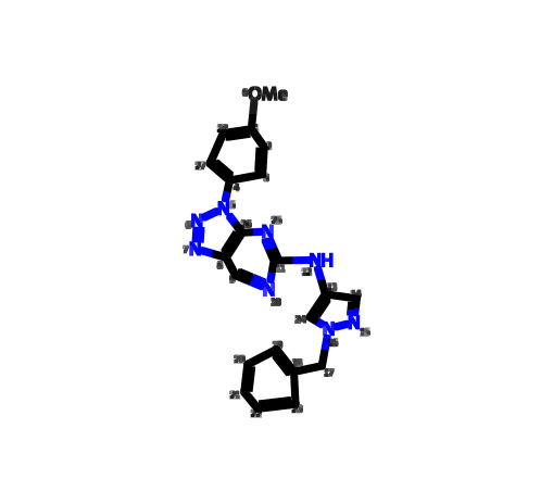 COc1ccc(-n2nnc3cnc(Nc4cnn(Cc5ccccc5)c4)nc32)cc1